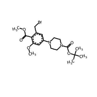 COC(=O)c1c(CBr)cc(N2CCN(C(=O)OC(C)(C)C)CC2)cc1OC